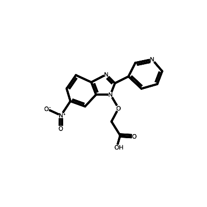 O=C(O)COn1c(-c2cccnc2)nc2ccc([N+](=O)[O-])cc21